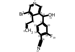 C=CCc1c(Br)cncc1C(O)c1ccc(C#N)c(F)c1